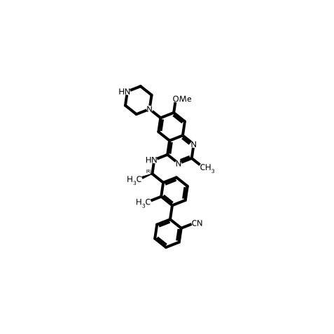 COc1cc2nc(C)nc(N[C@H](C)c3cccc(-c4ccccc4C#N)c3C)c2cc1N1CCNCC1